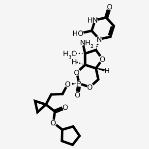 C[C@@]1(N)[C@@H]2O[P@@](=O)(OCCC3(C(=O)OC4CCCC4)CC3)OC[C@H]2O[C@H]1N1C=CC(=O)NC1O